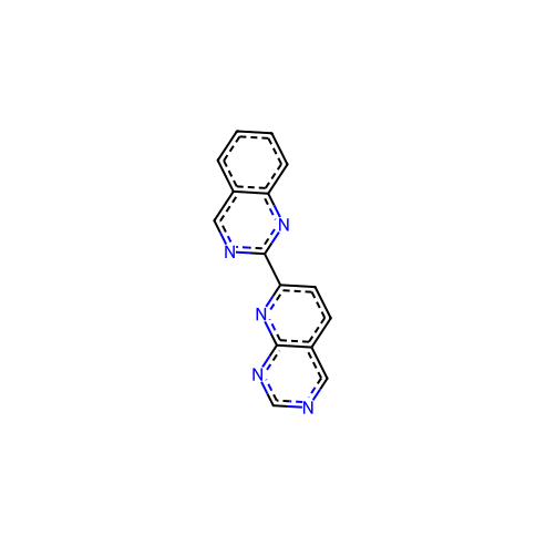 c1ccc2nc(-c3ccc4cncnc4n3)ncc2c1